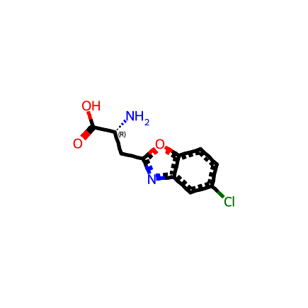 N[C@H](Cc1nc2cc(Cl)ccc2o1)C(=O)O